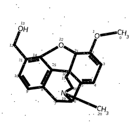 COC1=CC=C2C3Cc4ccc(CO)c5c4C2(CCN3C)C1O5